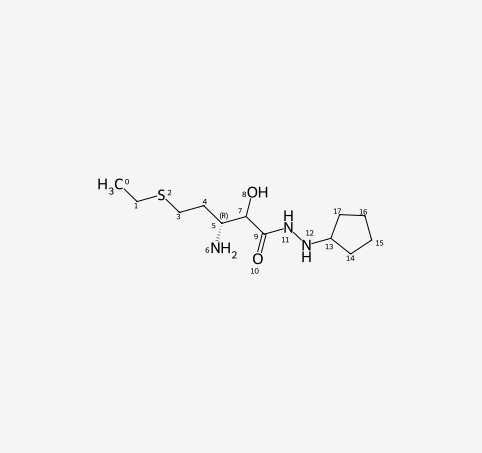 CCSCC[C@@H](N)C(O)C(=O)NNC1CCCC1